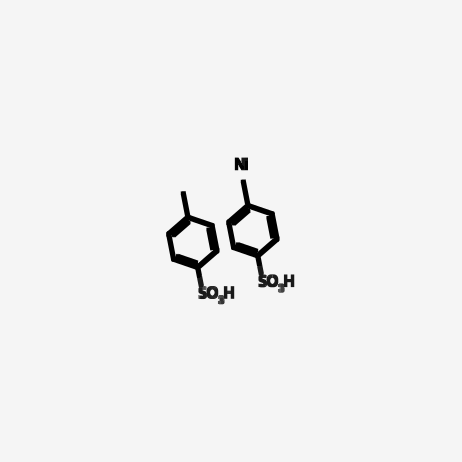 Cc1ccc(S(=O)(=O)O)cc1.Cc1ccc(S(=O)(=O)O)cc1.[Ni]